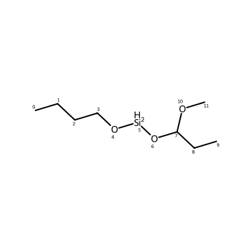 CCCCO[SiH2]OC(CC)OC